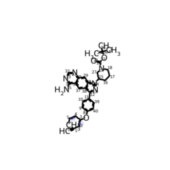 C#C/C=C(\C=C/C)Oc1ccc(-c2nn(C3CCCN(C(=O)OC(C)(C)C)C3)c3cc4ncnc(N)c4cc23)cc1